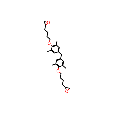 Cc1cc(Cc2cc(C)c(OCCCCC3CO3)c(C)c2)cc(C)c1OCCCCC1CO1